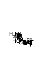 Nc1ncnc2c1ncn2[C@@H]1O[C@H](COP2(=S)OCCC(c3cc(F)c(F)c(F)c3F)O2)C(O)[C@@H]1O